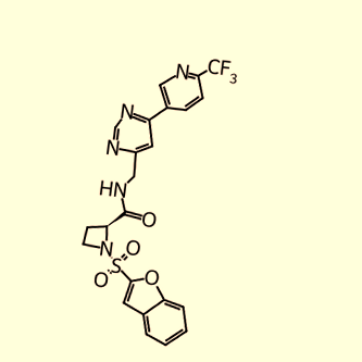 O=C(NCc1cc(-c2ccc(C(F)(F)F)nc2)ncn1)[C@@H]1CCN1S(=O)(=O)c1cc2ccccc2o1